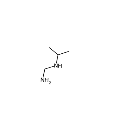 C[C](C)NCN